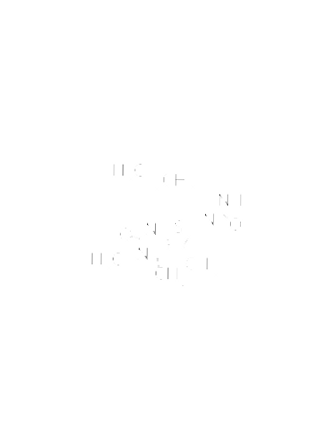 C=C1c2c(sc(CN3CCNC3=O)c2C)N(CCC(C)CC)C(=O)N1CC